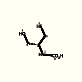 O=C(O)N[C@H](CO)CS